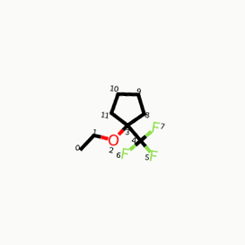 CCOC1(C(F)(F)F)CCCC1